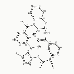 Cc1csc(CN(C)C(=O)c2cccc(C(=O)NC(Cc3ccccc3)C(O)CN(C)c3cncc(OC(C)C)c3)c2)n1